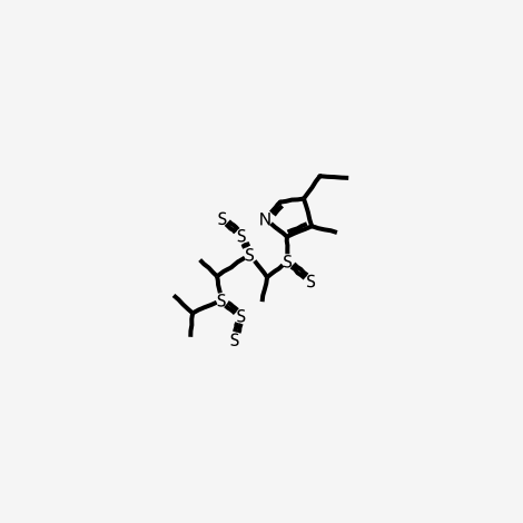 CCC1C=NC(S(=S)C(C)S(=S=S)C(C)S(=S=S)C(C)C)=C1C